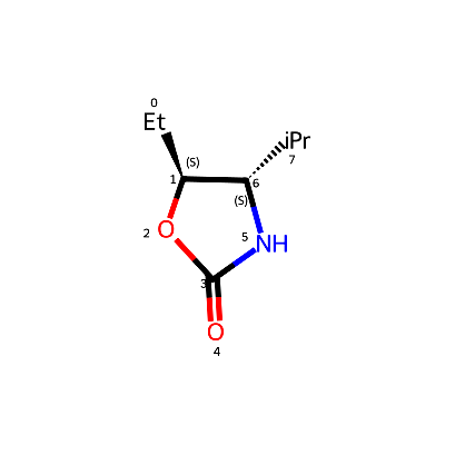 CC[C@@H]1OC(=O)N[C@H]1C(C)C